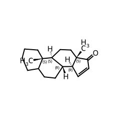 C[C@]12CCCCC1CC[C@@H]1[C@@H]2CC[C@]2(C)C(=O)C=C[C@@H]12